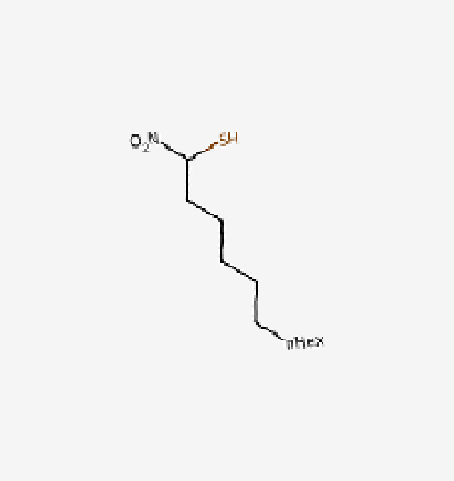 CCCCCCCCCCCC(S)[N+](=O)[O-]